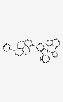 C1=CC(c2ccccc2)C2=CCc3ccc(-c4ccc5c(c4)-c4ncccc4C54c5ccccc5-c5cccc6cccc4c56)c4ccc1c2c34